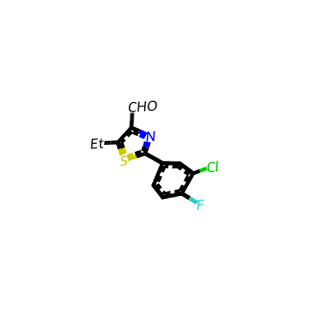 CCc1sc(-c2ccc(F)c(Cl)c2)nc1C=O